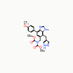 Cn1cnc2c(-c3ccc(OC(F)(F)F)cc3)cc(CN(C(=O)OC(C)(C)C)C(=O)OC(C)(C)C)c(Cc3cn[nH]c3)c21